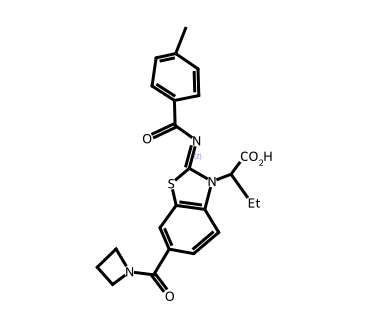 CCC(C(=O)O)n1/c(=N/C(=O)c2ccc(C)cc2)sc2cc(C(=O)N3CCC3)ccc21